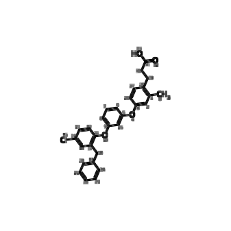 Cc1cc(Oc2cccc(Oc3ccc(Cl)cc3Cc3ccccc3)c2)ccc1CCC(=O)O